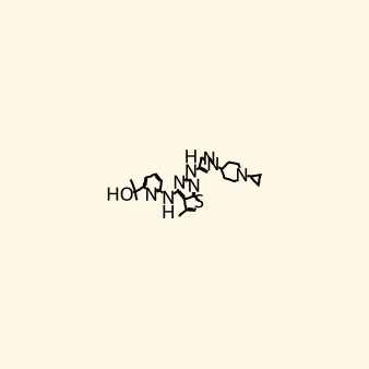 Cc1csc2nc(Nc3cnn(C4CCN(C5CC5)CC4)c3)nc(Nc3cccc(C(C)(C)O)n3)c12